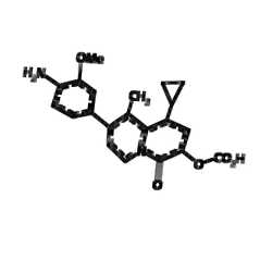 COc1cc(-c2ccn3c(=O)c(OC(=O)O)cc(C4CC4)c3c2C)ccc1N